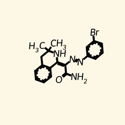 CC1(C)Cc2ccccc2/C(=C(/N=N/c2cccc(Br)c2)C(N)=O)N1